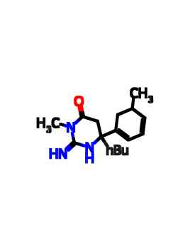 CCCCC1(C2=CC=CC(C)C2)CC(=O)N(C)C(=N)N1